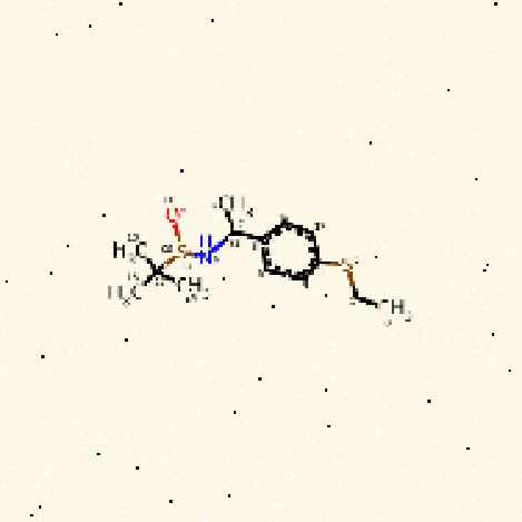 CCSc1ccc([C@H](C)N[S@+]([O-])C(C)(C)C)cc1